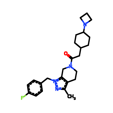 Cc1nn(Cc2ccc(F)cc2)c2c1CCN(C(=O)CC1CCC(N3CCC3)CC1)C2